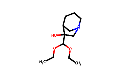 CCOC(OCC)C1(O)CN2CCCC1C2